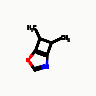 CC1c2ncoc2C1C